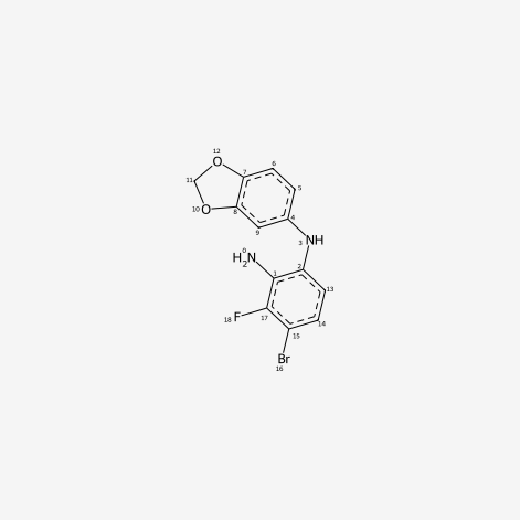 Nc1c(Nc2ccc3c(c2)OCO3)ccc(Br)c1F